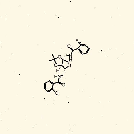 CC1(C)O[C@@H]2[C@@H](CNC(=O)c3ccccc3Cl)OC[C@]2(CNC(=O)c2ccccc2F)O1